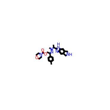 Cc1ccc(/C(COC(=O)N2CCOCC2)=N/N(C)C(C)c2nc3cc4c(cc3[nH]2)CNC4)cc1